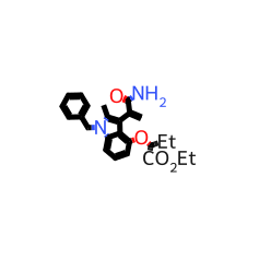 C=C(C(N)=O)c1c(C)n(Cc2ccccc2)c2cccc(OC(CC)C(=O)OCC)c12